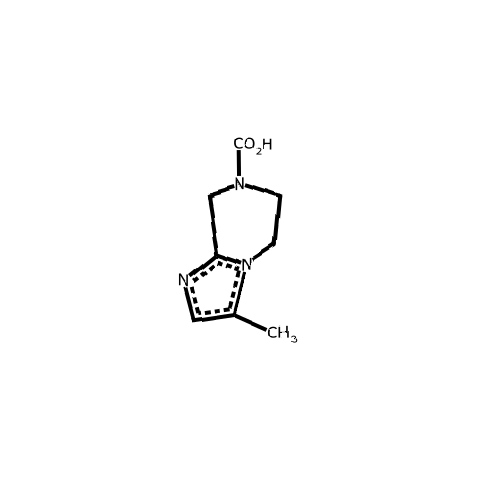 Cc1cnc2n1CCN(C(=O)O)C2